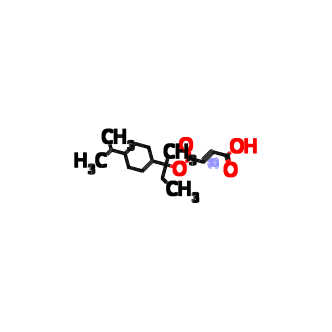 CCC(C)(OC(=O)/C=C/C(=O)O)C1CCC(C(C)C)CC1